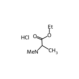 CCOC(=O)C(C)NC.Cl